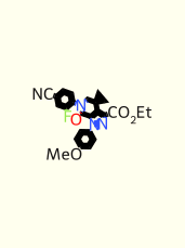 CCOC(=O)c1nn(-c2ccc(OC)cc2)c2c1C1(CC1)CN(c1ccc(C#N)cc1F)C2=O